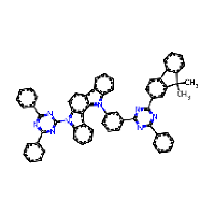 CC1(C)c2ccccc2-c2ccc(-c3nc(-c4ccccc4)nc(-c4cccc(-n5c6ccccc6c6ccc7c(c8ccccc8n7-c7nc(-c8ccccc8)nc(-c8ccccc8)n7)c65)c4)n3)cc21